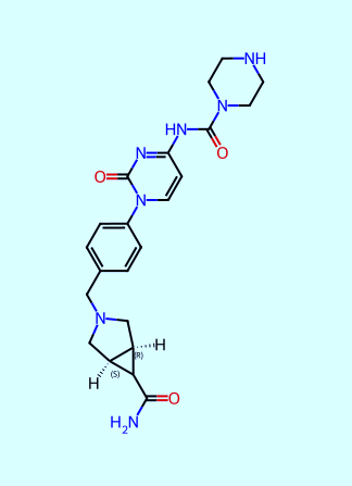 NC(=O)C1[C@H]2CN(Cc3ccc(-n4ccc(NC(=O)N5CCNCC5)nc4=O)cc3)C[C@@H]12